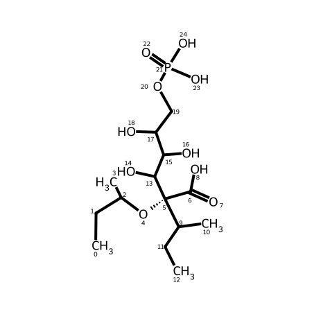 CCC(C)O[C@](C(=O)O)(C(C)CC)C(O)C(O)C(O)COP(=O)(O)O